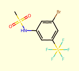 CS(=O)(=O)Nc1cc(Br)cc(S(F)(F)(F)(F)F)c1